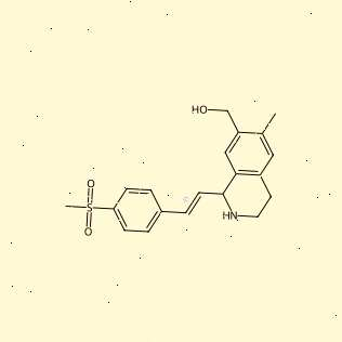 Cc1cc2c(cc1CO)C(/C=C/c1ccc(S(C)(=O)=O)cc1)NCC2